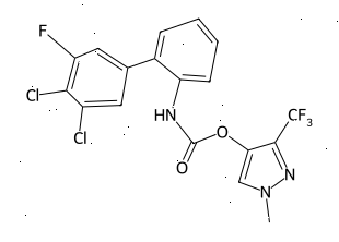 Cn1cc(OC(=O)Nc2ccccc2-c2cc(F)c(Cl)c(Cl)c2)c(C(F)(F)F)n1